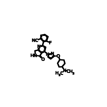 CN(C)C1CCC(Oc2ccn(-c3cc(-c4c(F)cccc4C#N)nc4c3C(=O)NC4)n2)CC1